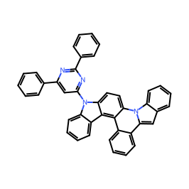 c1ccc(-c2cc(-n3c4ccccc4c4c5c6ccccc6c6cc7ccccc7n6c5ccc43)nc(-c3ccccc3)n2)cc1